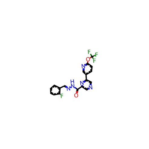 O=C(N/N=C/c1ccccc1F)c1cncc(-c2ccc(OC(F)(F)F)nc2)n1